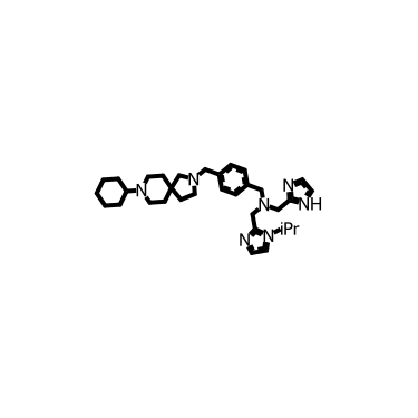 CC(C)n1ccnc1CN(Cc1ccc(CN2CCC3(CCN(C4CCCCC4)CC3)C2)cc1)Cc1ncc[nH]1